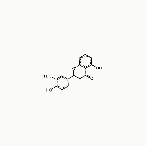 Cc1cc(C2CC(=O)c3c(O)cccc3O2)ccc1O